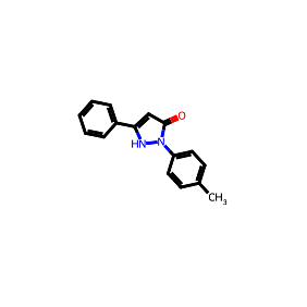 Cc1ccc(-n2[nH]c(-c3ccccc3)cc2=O)cc1